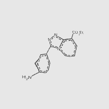 CCOC(=O)c1cccn2c(-c3ccc(N)cc3)nnc12